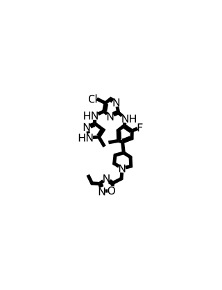 CCc1noc(CN2CCC(c3cc(F)c(Nc4ncc(Cl)c(Nc5cc(C)[nH]n5)n4)cc3C)CC2)n1